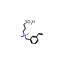 C=Cc1cccc(C[N+](C)(C)CCCS(=O)(=O)O)c1